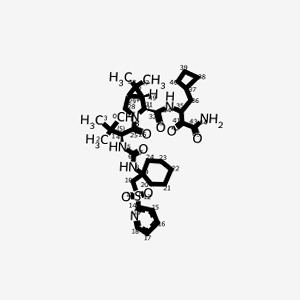 CC(C)(C)[C@H](NC(=O)NC1(CS(=O)(=O)c2ccccn2)CCCCC1)C(=O)N1CC2[C@@H]([C@H]1C(=O)NC(CC1CCC1)C(=O)C(N)=O)C2(C)C